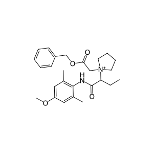 CCC(C(=O)Nc1c(C)cc(OC)cc1C)[N+]1(CC(=O)OCc2ccccc2)CCCC1